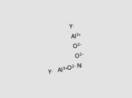 [Al+3].[Al+3].[N].[O-2].[O-2].[O-2].[Y].[Y]